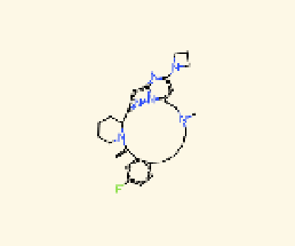 C=C1c2cc(F)ccc2CCCCN(C)Cc2cc(N3CCC3)nc3cc(nn23)C2CCCCN12